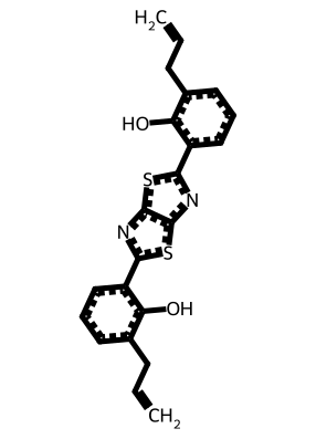 C=CCc1cccc(-c2nc3sc(-c4cccc(CC=C)c4O)nc3s2)c1O